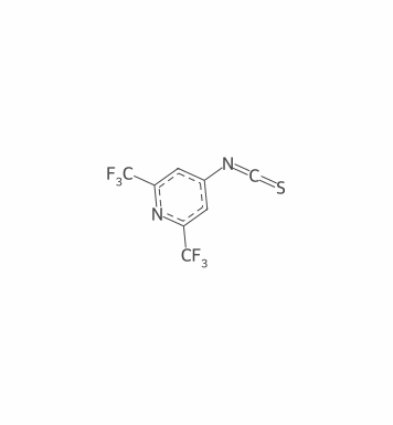 FC(F)(F)c1cc(N=C=S)cc(C(F)(F)F)n1